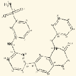 NS(=O)(=O)c1cccc(Nc2nccc(-c3ccc4c(c3)N(Cc3cccnc3)C(=O)CO4)n2)c1